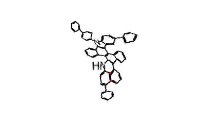 c1ccc(-c2ccc(Nc3c(-c4ccccc4)c4ccccc4c4c3c3ccccc3c3c4c4cc(-c5ccccc5)ccc4n3-c3ccc(-c4ccccc4)cc3)cc2)cc1